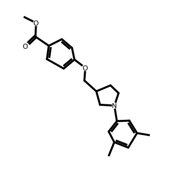 COC(=O)c1ccc(OCC2CCN(c3cc(C)cc(C)c3)C2)cc1